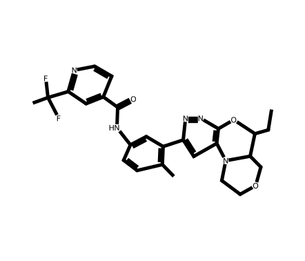 CCC1Oc2nnc(-c3cc(NC(=O)c4ccnc(C(C)(F)F)c4)ccc3C)cc2N2CCOCC12